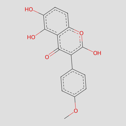 COc1ccc(-c2c(O)oc3ccc(O)c(O)c3c2=O)cc1